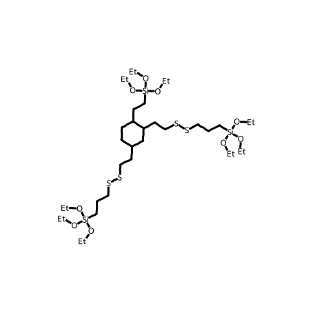 CCO[Si](CCCSSCCC1CCC(CC[Si](OCC)(OCC)OCC)C(CCSSCCC[Si](OCC)(OCC)OCC)C1)(OCC)OCC